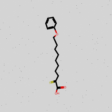 O=C(O)C(=S)CCCCCCCCOc1ccccc1